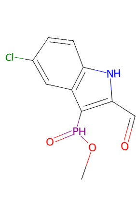 CO[PH](=O)c1c(C=O)[nH]c2ccc(Cl)cc12